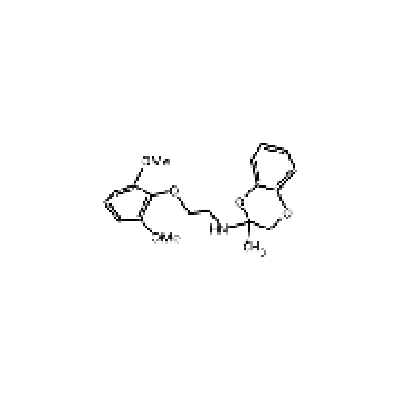 COc1cccc(OC)c1OCCNC1(C)COc2ccccc2O1